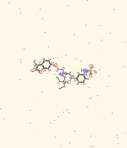 CC[Si](CC)(CC)O[C@@H](CNCCOc1ccc2c(C)c(C)oc2c1)c1cccc(NS(C)(=O)=O)c1